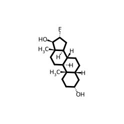 C[C@]12CC[C@@H](O)C[C@H]1CC[C@@H]1[C@@H]2CC[C@]2(C)[C@@H](O)[C@H](F)C[C@@H]12